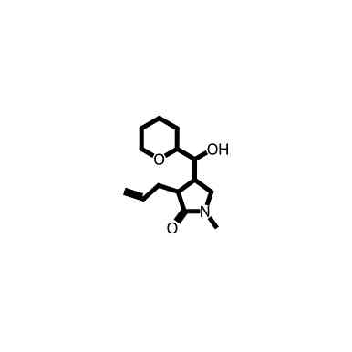 C=CCC1C(=O)N(C)CC1C(O)C1CCCCO1